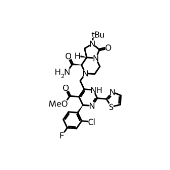 COC(=O)C1=C(CN2CCN3C(=O)N(C(C)(C)C)C[C@H]3[C@@H]2C(N)=O)NC(c2nccs2)=N[C@H]1c1ccc(F)cc1Cl